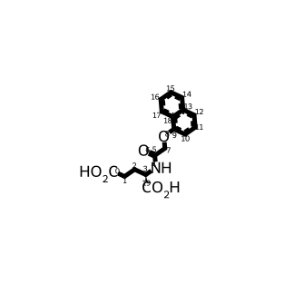 O=C(O)CC[C@H](NC(=O)COc1cccc2ccccc12)C(=O)O